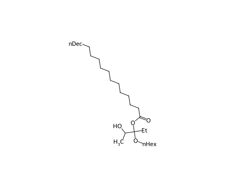 CCCCCCCCCCCCCCCCCCCCCC(=O)OC(CC)(OCCCCCC)C(C)O